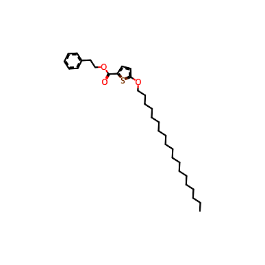 CCCCCCCCCCCCCCCCCCCOc1ccc(C(=O)OCCc2ccccc2)s1